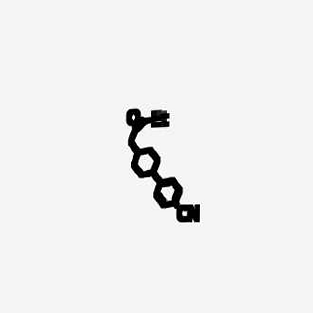 CCC1OC1CC1CCC(c2ccc(C#N)cc2)CC1